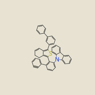 c1cccc(-c2cccc(-n3c4ccccc4c4ccccc43)c2-c2sc(-c3cccc(-c4ccccc4)c3)c3c2CCC=C3)c#1